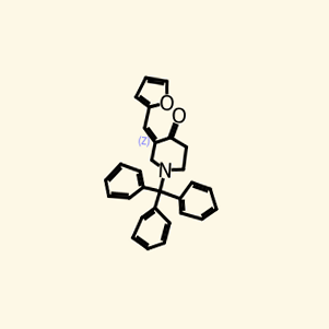 O=C1CCN(C(c2ccccc2)(c2ccccc2)c2ccccc2)C/C1=C/c1ccco1